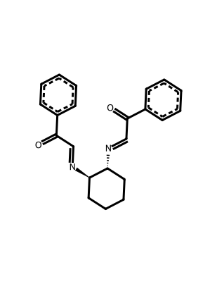 O=C(C=N[C@@H]1CCCC[C@H]1N=CC(=O)c1ccccc1)c1ccccc1